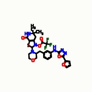 CC1(C)CC2=C(SC(N3CCOCC3Cc3cccc(Nc4nnc(-c5ccco5)o4)c3)N2OC(=O)C(F)(F)F)C(=O)N1